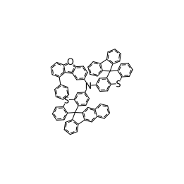 c1ccc(-c2cccc3oc4ccc(N(c5ccc6c(c5)Sc5ccccc5C65c6ccccc6-c6cc7ccccc7cc65)c5ccc6c(c5)C5(c7ccccc7S6)c6ccccc6-c6ccccc65)cc4c23)cc1